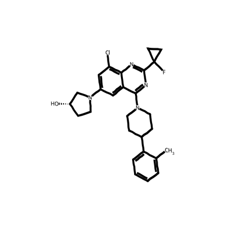 Cc1ccccc1C1CCN(c2nc(C3(F)CC3)nc3c(Cl)cc(N4CC[C@H](O)C4)cc23)CC1